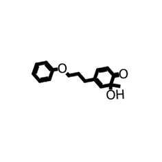 CC1(O)C=C(CCCOc2ccccc2)C=CC1=O